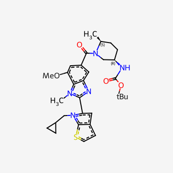 COc1cc(C(=O)N2C[C@H](NC(=O)OC(C)(C)C)CC[C@@H]2C)cc2nc(-c3cc4ccsc4n3CC3CC3)n(C)c12